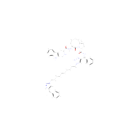 CN[C@@H](Cc1c[nH]c2ccccc12)C(=O)N[C@H]1CCCC[C@H]2CC[C@@H](C(=O)N[C@@H](c3ccccc3)c3cn(CCCCCCCCCCn4cc([C@@H](C)c5ccccc5)nn4)nn3)N2C1=O